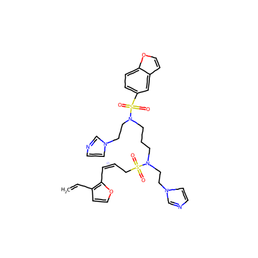 C=Cc1ccoc1/C=C\CS(=O)(=O)N(CCCN(CCn1ccnc1)S(=O)(=O)c1ccc2occc2c1)CCn1ccnc1